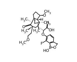 COCC[C@@]1(C)C[C@@H](C(Oc2ccc3c(c2F)B(O)OC3)C(=O)O)[C@@]2(C)[C@H](C)CC[C@]3(CC[C@@H](OC)[C@@H]32)[C@@H](C)C1=O